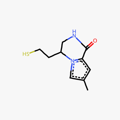 Cc1cc2n(c1)C(CCS)CNC2=O